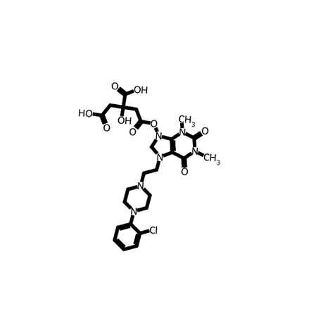 Cn1c2c(c(=O)n(C)c1=O)N(CCN1CCN(c3ccccc3Cl)CC1)CN2OC(=O)CC(O)(CC(=O)O)C(=O)O